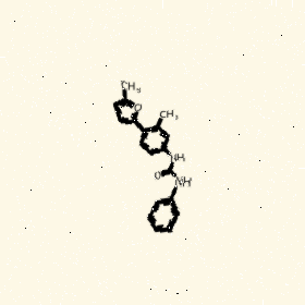 Cc1ccc(-c2ccc(NC(=O)Nc3ccccc3)cc2C)o1